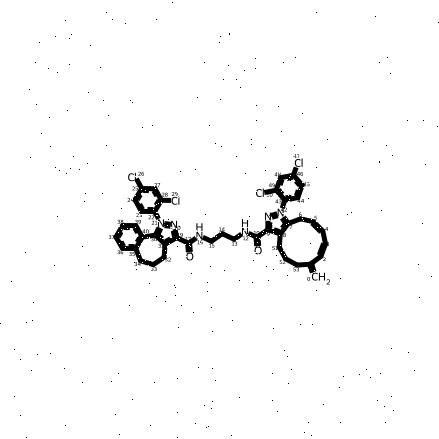 C=C1/C=C\C=C/Cc2c(c(C(=O)NCCCNC(=O)c3nn(-c4ccc(Cl)cc4Cl)c4c3CCCc3ccccc3-4)nn2-c2ccc(Cl)cc2Cl)CCC1